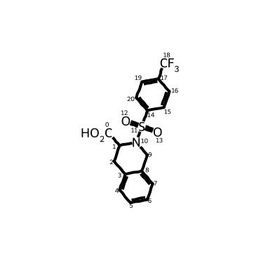 O=C(O)C1Cc2ccccc2CN1S(=O)(=O)c1ccc(C(F)(F)F)cc1